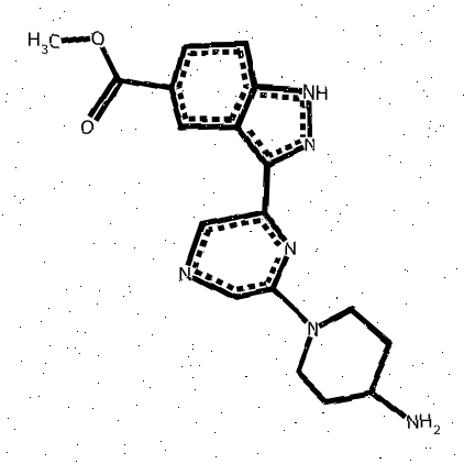 COC(=O)c1ccc2[nH]nc(-c3cncc(N4CCC(N)CC4)n3)c2c1